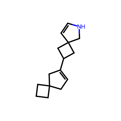 C1=CC2(CN1)CC(C1=CCC3(CCC3)C1)C2